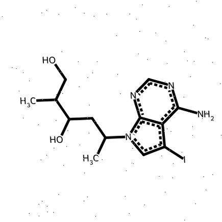 CC(CO)C(O)CC(C)n1cc(I)c2c(N)ncnc21